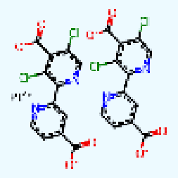 O=C([O-])c1ccnc(-c2ncc(Cl)c(C(=O)[O-])c2Cl)c1.O=C([O-])c1ccnc(-c2ncc(Cl)c(C(=O)[O-])c2Cl)c1.[Pt+4]